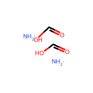 O=CO.O=CO.[NH2].[NH2]